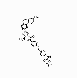 COc1ccc2c(c1)CCc1cnc(-n3cc(C(=O)Nc4ccc(CCN5CCC(NC(=O)OC(C)(C)C)CC5)cc4)c(N)n3)nc1-2